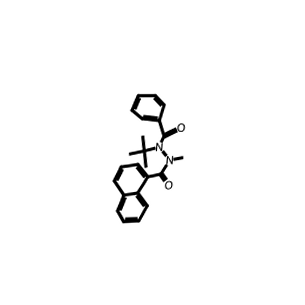 CN(C(=O)c1cccc2ccccc12)N(C(=O)c1ccccc1)C(C)(C)C